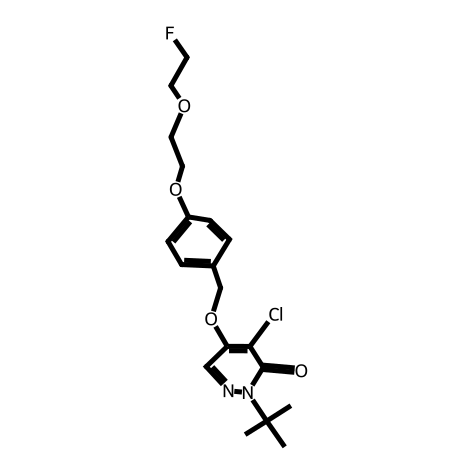 CC(C)(C)n1ncc(OCc2ccc(OCCOCCF)cc2)c(Cl)c1=O